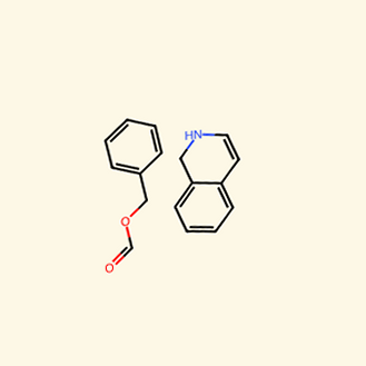 C1=Cc2ccccc2CN1.O=COCc1ccccc1